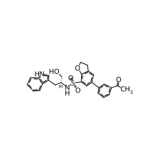 CC(=O)c1cccc(-c2cc3c(c(S(=O)(=O)N[C@@H](CO)Cc4c[nH]c5ccccc45)c2)OCC3)c1